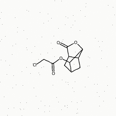 O=C(CCl)OC1C2CC3C(=O)OC1C3C2